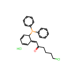 Cl.O=C(C=C1C=CC=CC1P(c1ccccc1)c1ccccc1)CCCCCl